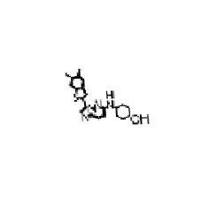 Cc1cc2cc(-c3cnc4ccc(NC5CCC(O)CC5)nn34)sc2cc1C